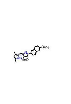 COC1=CC(c2ccc3cc(OC)ccc3c2)=N/C1=C/c1[nH]c(C)cc1C